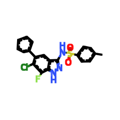 Cc1ccc(S(=O)(=O)Nc2n[nH]c3c(F)c(Cl)c(-c4ccccc4)cc23)cc1